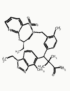 CC[C@@H]1CN(Cc2cc(C(c3ccc4c(nnn4CC)c3C)C(C)(C)C(N)=O)ccc2C)S(=O)(=O)c2cccnc2O1